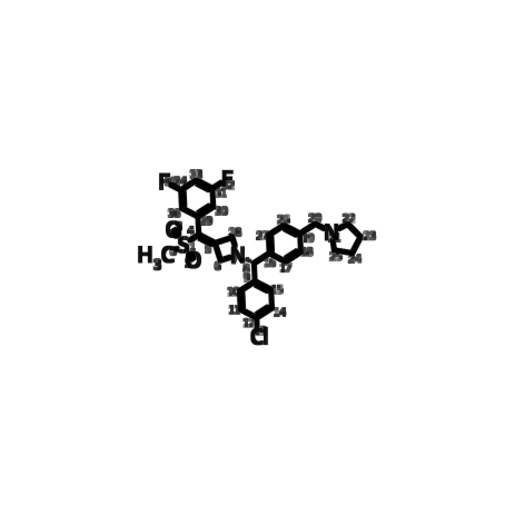 CS(=O)(=O)C(=C1CN([C@@H](c2ccc(Cl)cc2)c2ccc(CN3CCCC3)cc2)C1)c1cc(F)cc(F)c1